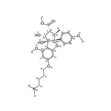 COC(=O)[C@H]1[C@@H](O)[C@@]2(O)c3c(OC)cc(OCCCCN(C)C)cc3O[C@@]2(c2ccc(OC)cc2)[C@@H]1C